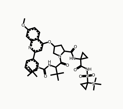 COc1ccc2c(OC3CC(C(=O)NC4(C(=O)NS(=O)(=O)C5([Si](C)(C)C)CC5)CC4)N(C(=O)C(NC(=O)OC(C)(C)C)C(C)(C)C)C3)cc(-c3ccccc3)nc2c1